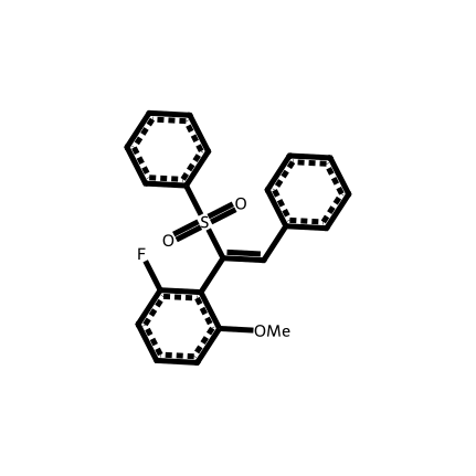 COc1cccc(F)c1C(=Cc1ccccc1)S(=O)(=O)c1ccccc1